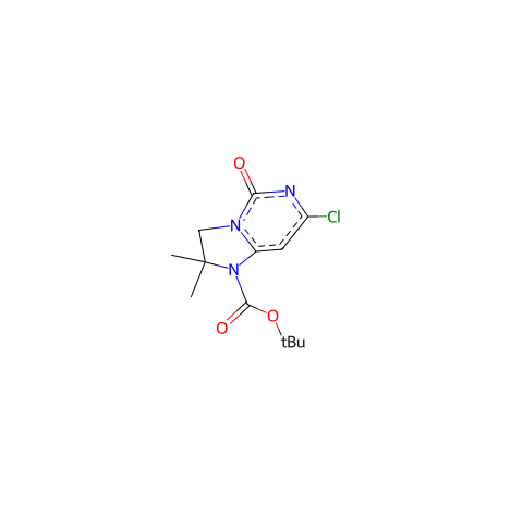 CC(C)(C)OC(=O)N1c2cc(Cl)nc(=O)n2CC1(C)C